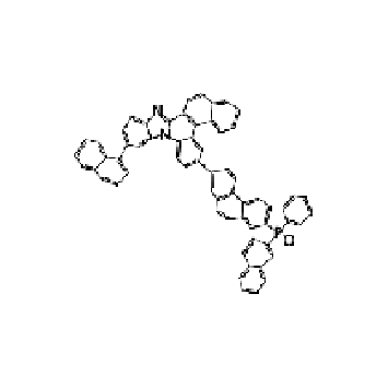 O=P(c1ccccc1)(c1ccc2ccccc2c1)c1ccc2c(ccc3cc(-c4ccc5c(c4)c4c6ccccc6ccc4c4nc6ccc(-c7cccc8ccccc78)cc6n54)ccc32)c1